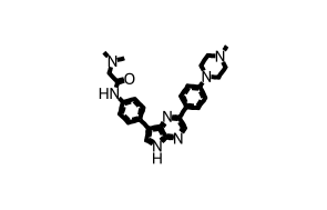 CN(C)CC(=O)Nc1ccc(-c2c[nH]c3ncc(-c4ccc(N5CCN(C)CC5)cc4)nc23)cc1